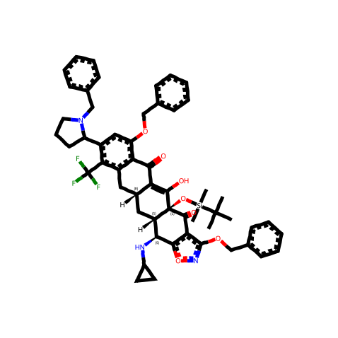 CC(C)(C)[Si](C)(C)O[C@@]12C(=O)c3c(OCc4ccccc4)noc3[C@@H](NC3CC3)[C@@H]1C[C@@H]1Cc3c(c(OCc4ccccc4)cc(C4CCCN4Cc4ccccc4)c3C(F)(F)F)C(=O)C1=C2O